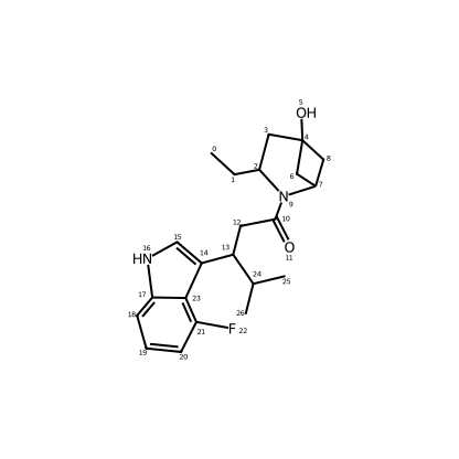 CCC1CC2(O)CC(C2)N1C(=O)CC(c1c[nH]c2cccc(F)c12)C(C)C